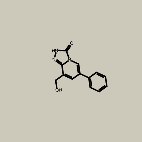 O=c1[nH]nc2c(CO)cc(-c3ccccc3)cn12